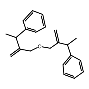 C=C(COCC(=C)C(C)c1ccccc1)C(C)c1ccccc1